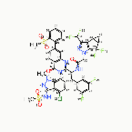 Cn1nc(NS(C)(=O)=O)c2c(Cl)ccc(-n3c([C@H](Cc4cc(F)cc(F)c4)NC(=O)Cn4nc(C(F)F)c5c4C(F)(F)C4CC54)nc4cc(-c5ccccc5S(C)(=O)=O)ccc4c3=O)c21